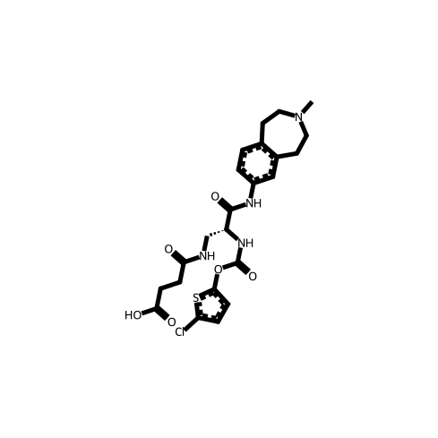 CN1CCc2ccc(NC(=O)[C@@H](CNC(=O)CCC(=O)O)NC(=O)Oc3ccc(Cl)s3)cc2CC1